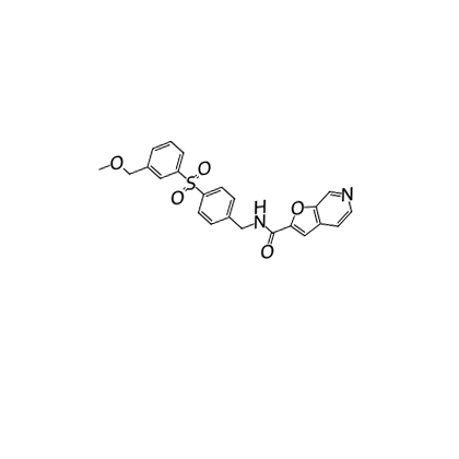 COCc1cccc(S(=O)(=O)c2ccc(CNC(=O)c3cc4ccncc4o3)cc2)c1